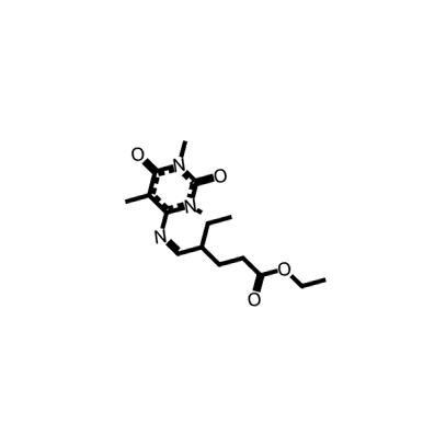 CCOC(=O)CCC(/C=N\c1c(C)c(=O)n(C)c(=O)n1C)CC